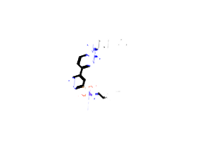 CC(=O)Nc1nc2ccc(-c3cncc(S(=O)(=O)NCCC(F)(F)F)c3)cn2n1